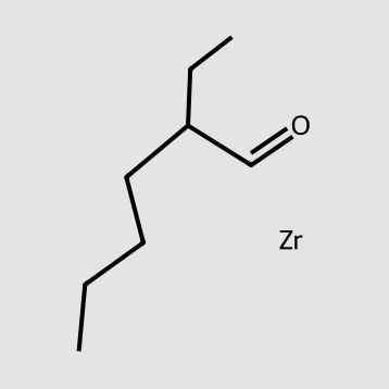 CCCCC(C=O)CC.[Zr]